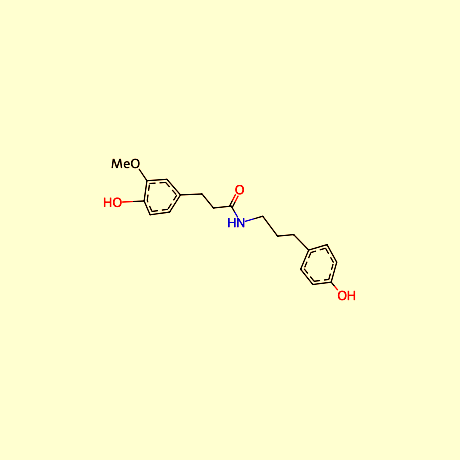 COc1cc(CCC(=O)NCCCc2ccc(O)cc2)ccc1O